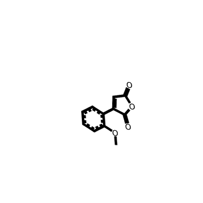 COc1ccccc1C1=CC(=O)OC1=O